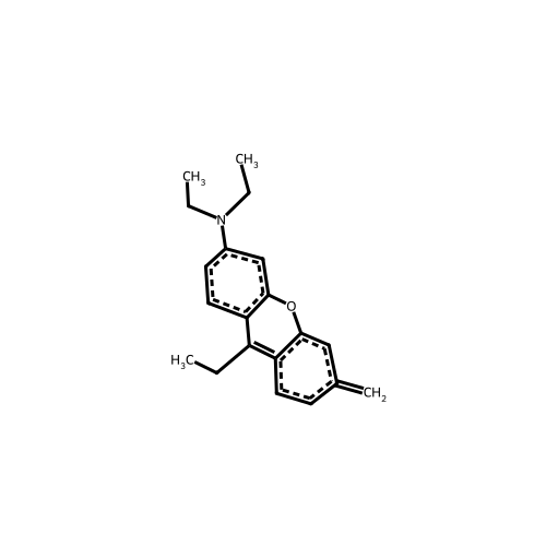 C=c1ccc2c(c1)Oc1cc(N(CC)CC)ccc1C=2CC